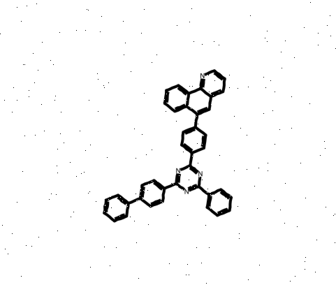 c1ccc(-c2ccc(-c3nc(-c4ccccc4)nc(-c4ccc(-c5cc6cccnc6c6ccccc56)cc4)n3)cc2)cc1